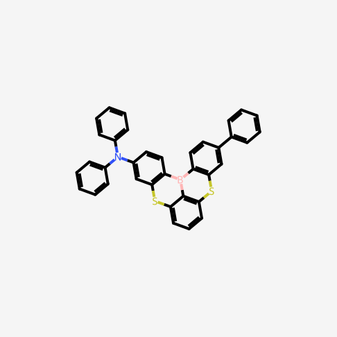 c1ccc(-c2ccc3c(c2)Sc2cccc4c2B3c2ccc(N(c3ccccc3)c3ccccc3)cc2S4)cc1